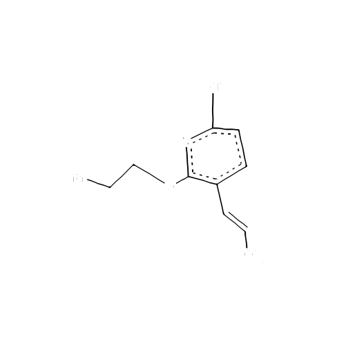 CC(C)CCOc1nc(C(F)(F)F)ccc1C=CC(=O)O